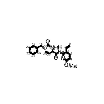 C=Cc1ccc(OC)nc1NC(=O)C(C=C)NC(=O)OCc1ccccc1